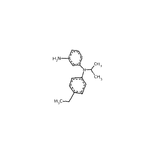 CCc1ccc(N(c2cccc(N)c2)C(C)C)cc1